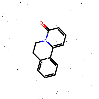 O=c1cccc2n1CCc1ccccc1-2